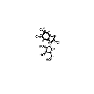 OC[C@@H]1O[C@@H](n2c(Cl)nc3cc(Cl)c(Cl)cc32)[C@H](O)[C@@H]1O